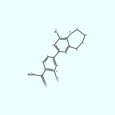 CNC(=O)c1ccc(-c2cc3c(c(C(C)=O)c2)OCCCC3)cc1Cl